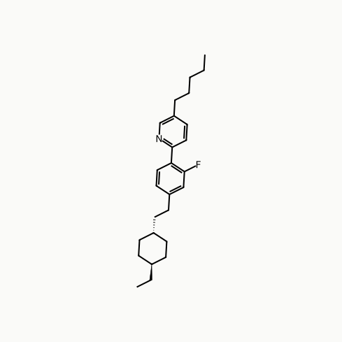 CCCCCc1ccc(-c2ccc(CC[C@H]3CC[C@H](CC)CC3)cc2F)nc1